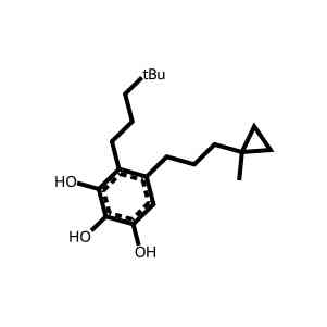 CC(C)(C)CCCc1c(CCCC2(C)CC2)cc(O)c(O)c1O